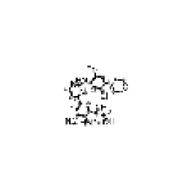 CCc1cc(C2CCOCC2)c(Cl)cc1Nc1nccc(-c2cc(C#N)c3c(c2)[C@@](C)(CO)CN3)n1